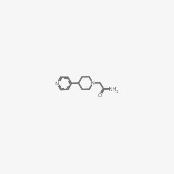 NC(=O)CN1CCC(c2ccncc2)CC1